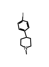 CN1CCC(c2ccc(I)cc2)CC1